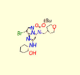 CC(C)(C)OC(=O)N(CC1CCOCC1)c1cc(N[C@H]2CCCC[C@H]2O)nc2c(Br)cnn12